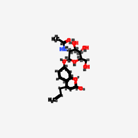 C=CCc1cc(=O)oc2cc(O[C@H]3O[C@H](CO)[C@@H](O)[C@H](O)[C@H]3NC(C)=O)ccc12